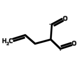 C=CCC([C]=O)[C]=O